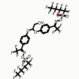 CCC(Oc1ccc(C(=NOS(=O)(=O)C(F)(F)C(F)(F)C(F)(F)C(F)(F)F)C(F)(F)F)cc1)Oc1ccc(C(=NOS(=O)(=O)C(F)(F)C(F)(F)C(F)(F)C(F)(F)F)C(F)(F)F)cc1